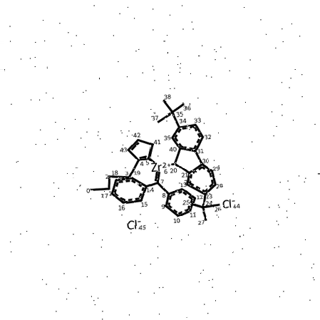 CCCCC1=[C]([Zr+2](=[C](c2ccccc2)c2ccccc2)[CH]2c3cc(C(C)(C)C)ccc3-c3ccc(C(C)(C)C)cc32)CC=C1.[Cl-].[Cl-]